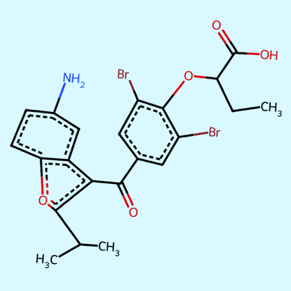 CCC(Oc1c(Br)cc(C(=O)c2c(C(C)C)oc3ccc(N)cc23)cc1Br)C(=O)O